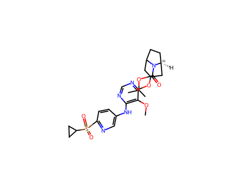 COc1c(Nc2ccc(S(=O)(=O)C3CC3)nc2)ncnc1OC1CC2CC[C@@H](C1)N2C(=O)OC(C)C